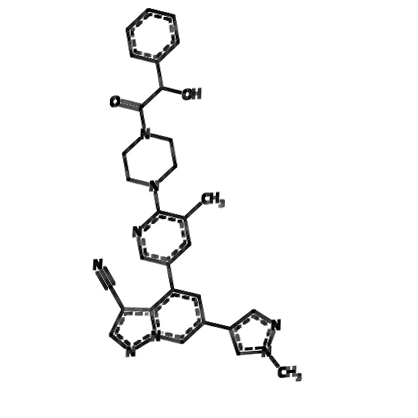 Cc1cc(-c2cc(-c3cnn(C)c3)cn3ncc(C#N)c23)cnc1N1CCN(C(=O)C(O)c2ccccc2)CC1